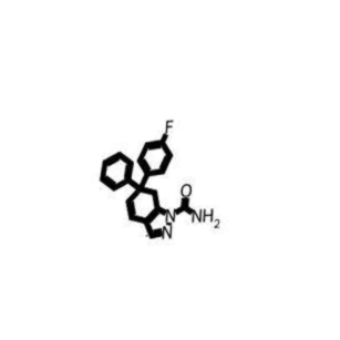 NC(=O)n1n[c]c2c1CC(c1ccccc1)(c1ccc(F)cc1)C=C2